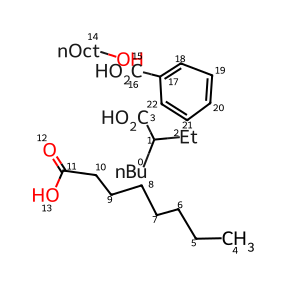 CCCCC(CC)C(=O)O.CCCCCCCC(=O)O.CCCCCCCCO.O=C(O)c1ccccc1